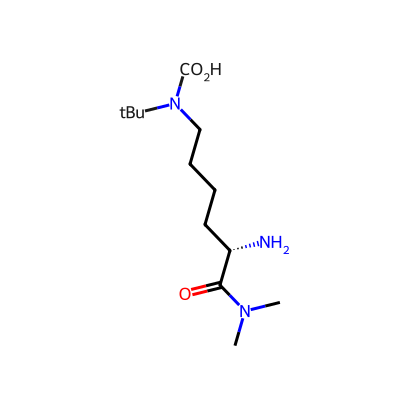 CN(C)C(=O)[C@@H](N)CCCCN(C(=O)O)C(C)(C)C